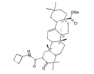 COC(=O)[C@]12CCC(C)(C)CC1C1=CCC3[C@@]4(C)CC(C(=O)NC5CCC5)C(=O)C(C)(C)C4CC[C@@]3(C)[C@]1(C)CC2